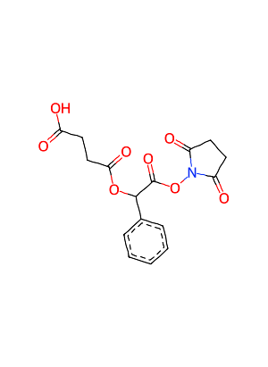 O=C(O)CCC(=O)OC(C(=O)ON1C(=O)CCC1=O)c1ccccc1